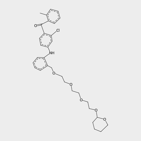 Cc1ccccc1C(=O)c1ccc(Nc2ccccc2COCCOCCOCCOC2CCCCO2)cc1Cl